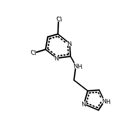 Clc1cc(Cl)nc(NCc2c[nH]cn2)n1